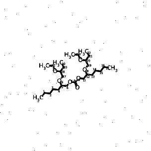 CCCCCC(COC(=O)OCC(CCCCC)OCC(CC)OCC)OCC(CC)OCC